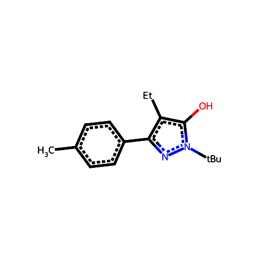 CCc1c(-c2ccc(C)cc2)nn(C(C)(C)C)c1O